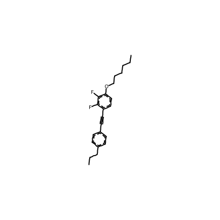 CCCCCCOc1ccc(C#Cc2ccc(CCC)cc2)c(F)c1F